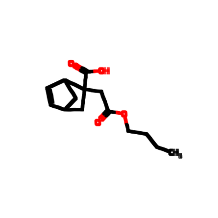 CCCCOC(=O)CC1(C(=O)O)CC2C=CC1C2